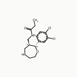 CCC(=O)NC[C@@H]1CNCCO[C@H]1c1ccc(Cl)c(Cl)c1